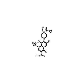 COc1c(N2CCC(CF)(NC3CC3)CC2)c(F)cc2c(=O)c(C(=O)O)cn(C3CC3)c12